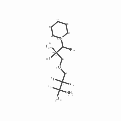 NC(F)(C(F)(F)F)C(F)(F)COC[C@](F)(C(F)N1CCCCC1)C(F)(F)F